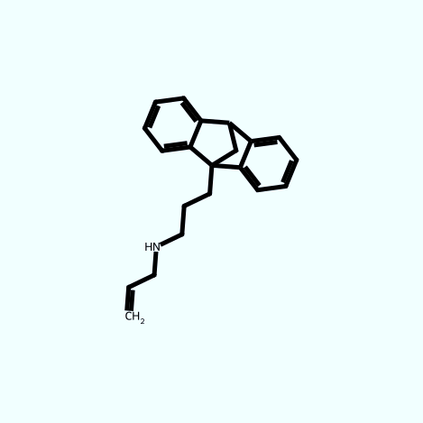 C=CCNCCCC12CC(c3ccccc31)c1ccccc12